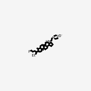 CC/C=C(\CCCF)C1=CCC2(C)C(CCC3(C)C4CCC5(NCCN6CC[S+]([O-])CC6)CCCC5C4CCC23)C1C